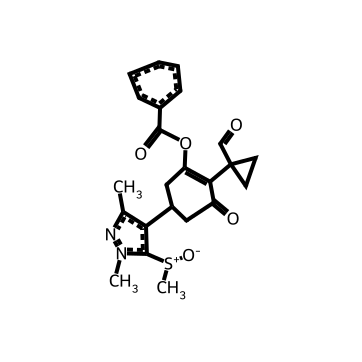 Cc1nn(C)c([S+](C)[O-])c1C1CC(=O)C(C2(C=O)CC2)=C(OC(=O)c2ccccc2)C1